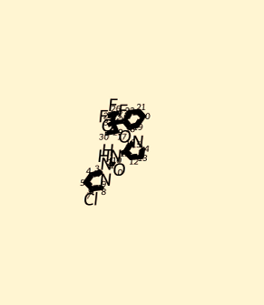 O=C(Nc1ccc(Cl)cn1)Nc1cccnc1Oc1ccccc1C1(C(F)(F)F)CCO1